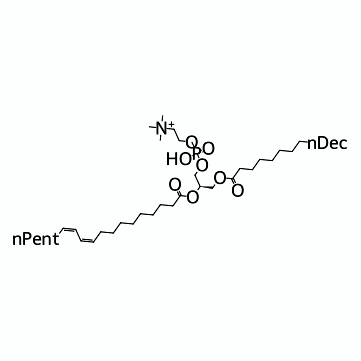 CCCCC/C=C\C=C/CCCCCCCCC(=O)O[C@H](COC(=O)CCCCCCCCCCCCCCCCC)COP(=O)(O)OCC[N+](C)(C)C